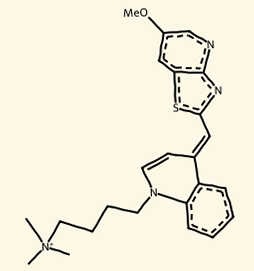 COc1cnc2nc(C=C3C=CN(CCCC[N+](C)(C)C)c4ccccc43)sc2c1